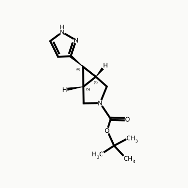 CC(C)(C)OC(=O)N1C[C@@H]2[C@H](C1)[C@H]2c1cc[nH]n1